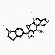 CN1CCc2cc(-n3cc([C@H](O)c4c(C5CC5)ncc5cncn45)nn3)ccc21